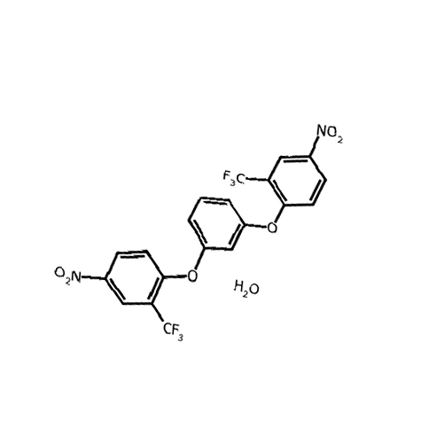 O.O=[N+]([O-])c1ccc(Oc2cccc(Oc3ccc([N+](=O)[O-])cc3C(F)(F)F)c2)c(C(F)(F)F)c1